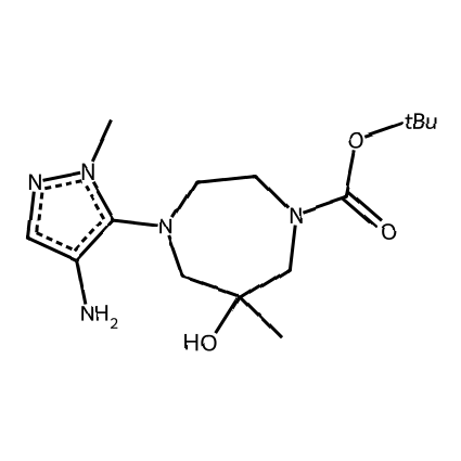 Cn1ncc(N)c1N1CCN(C(=O)OC(C)(C)C)CC(C)(O)C1